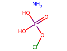 N.O=P(O)(O)OCl